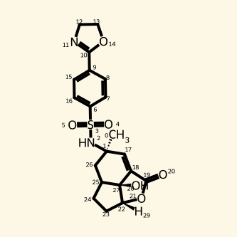 C[C@]1(NS(=O)(=O)c2ccc(C3=NCCO3)cc2)C=C2C(=O)O[C@@H]3CCC(C1)[C@]23O